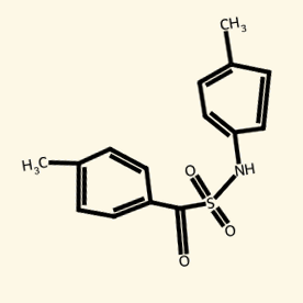 Cc1ccc(NS(=O)(=O)C(=O)c2ccc(C)cc2)cc1